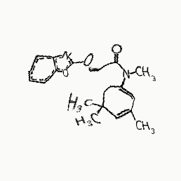 CC1=CC(C)(C)CC(N(C)C(=O)COc2nc3ccccc3o2)=C1